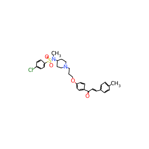 Cc1ccc(/C=C/C(=O)c2ccc(OCCCN3CCC(N(C)S(=O)(=O)c4ccc(Cl)cc4)CC3)cc2)cc1